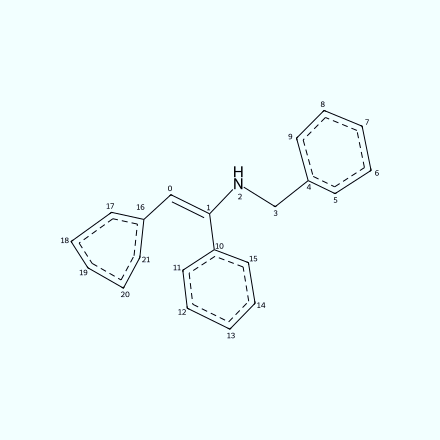 C(=C(NCc1ccccc1)c1ccccc1)c1ccccc1